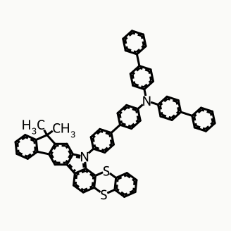 CC1(C)c2ccccc2-c2cc3c4ccc5c(c4n(-c4ccc(-c6ccc(N(c7ccc(-c8ccccc8)cc7)c7ccc(-c8ccccc8)cc7)cc6)cc4)c3cc21)Sc1ccccc1S5